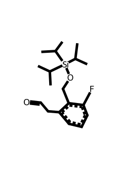 CC(C)[Si](OCc1c(F)cccc1CC=O)(C(C)C)C(C)C